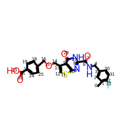 Cc1cc(CNC(=O)c2nc3scc(COCc4ccc(C(=O)O)cc4)c3c(=O)[nH]2)ccc1F